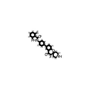 C[C@H]1C(=O)c2cc(-c3ccc(NC(=O)c4c(F)cccc4F)cc3)ccc2OC12CCNCC2